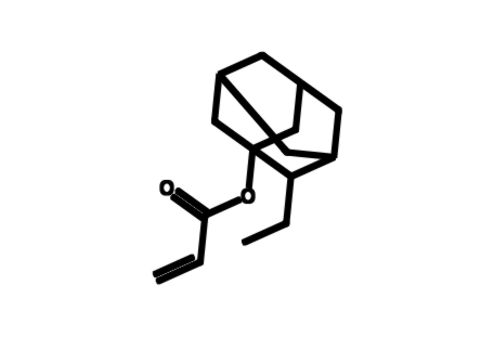 C=CC(=O)OC12CC3CC(CC(C3)C1CC)C2